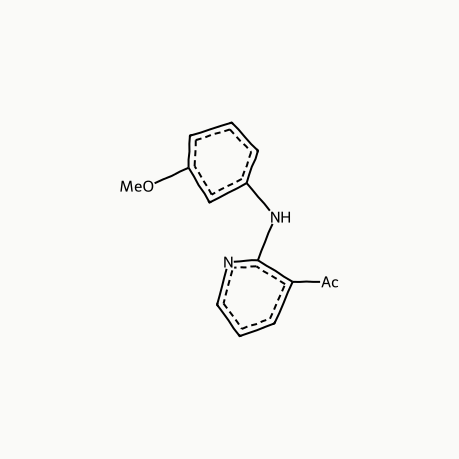 COc1cccc(Nc2ncccc2C(C)=O)c1